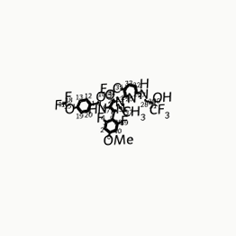 COc1cc(F)c(-c2c(NC(=O)c3ccc(OC(F)F)cc3)c(=O)n(-c3nc(NCC(O)C(F)(F)F)ccc3C(F)(F)F)n2C)c(F)c1